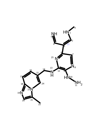 CN/C=C(\C=N)c1cnc(NN)c(NCc2ccc3ncc(C)n3c2)n1